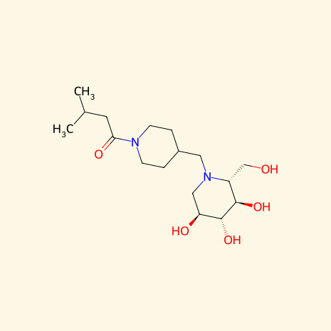 CC(C)CC(=O)N1CCC(CN2C[C@H](O)[C@@H](O)[C@H](O)[C@H]2CO)CC1